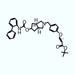 CC(C)(C)OC(=O)/C=C/Oc1ccc(CN2C[C@H]3CC(OC(=O)Nc4ccccc4-c4ccccc4)C[C@H]3C2)cc1